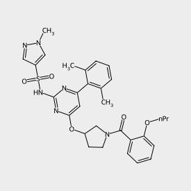 CCCOc1ccccc1C(=O)N1CCC(Oc2cc(-c3c(C)cccc3C)nc(NS(=O)(=O)c3cnn(C)c3)n2)C1